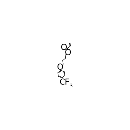 C=CC(=O)OCCCCOc1ccc(C(F)(F)F)cc1